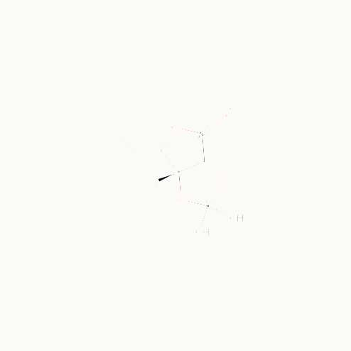 CC[C@@H]1OC(=O)C2OC(C)(C)O[C@@H]21